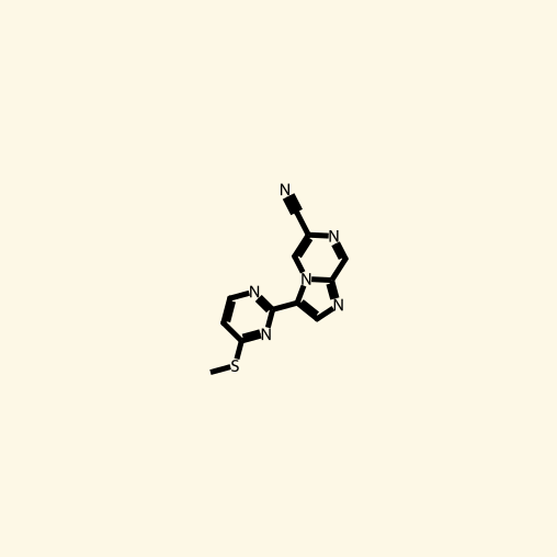 CSc1ccnc(-c2cnc3cnc(C#N)cn23)n1